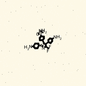 Nc1ccc(-c2c(C(F)F)nn(-c3ccc(N)cc3)c2-c2ccc(S(N)(=O)=O)cc2)cc1